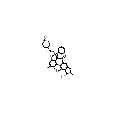 CNC(=O)c1cc2c(c(F)c1-c1c(Cl)c(F)cc3c1C[C@@](CN[C@H]1CC[C@](C)(O)CC1)(c1ccccc1)O3)C(O)C(C)C2